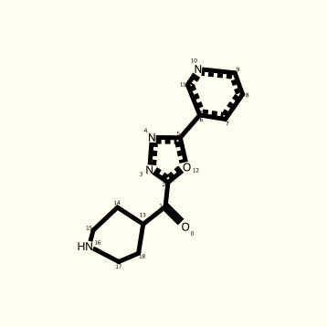 O=C(c1nnc(-c2cccnc2)o1)C1CCNCC1